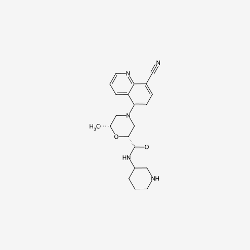 C[C@@H]1CN(c2ccc(C#N)c3ncccc23)C[C@H](C(=O)NC2CCCNC2)O1